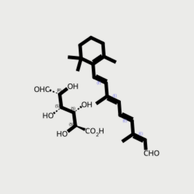 CC1=C(/C=C/C(C)=C/C=C/C(C)=C/C=O)C(C)(C)CCC1.O=C[C@H](O)[C@@H](O)[C@H](O)[C@H](O)C(=O)O